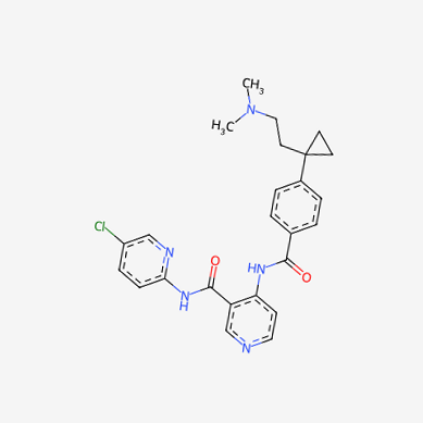 CN(C)CCC1(c2ccc(C(=O)Nc3ccncc3C(=O)Nc3ccc(Cl)cn3)cc2)CC1